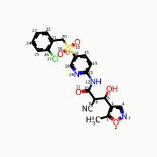 Cc1oncc1C(O)C(C#N)C(=O)Nc1ccc(S(=O)(=O)Cc2ccccc2Cl)cn1